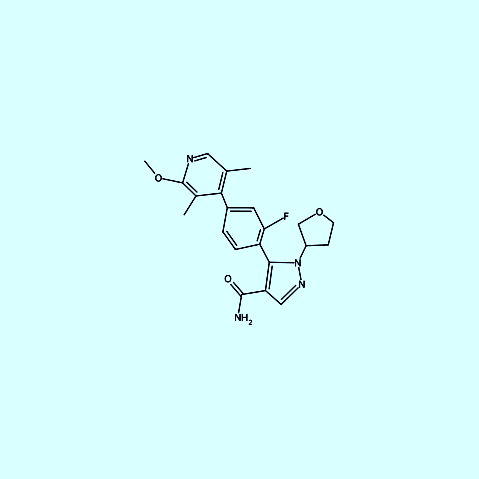 COc1ncc(C)c(-c2ccc(-c3c(C(N)=O)cnn3C3CCOC3)c(F)c2)c1C